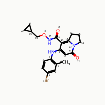 Cc1cc(Br)ccc1Nc1cc(=O)n2c(c1C(=O)NOCC1CC1)CCC2